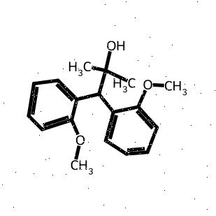 COc1ccccc1C(c1ccccc1OC)C(C)(C)O